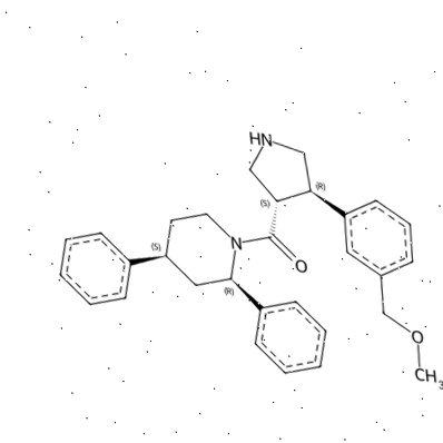 COCc1cccc([C@@H]2CNC[C@H]2C(=O)N2CC[C@H](c3ccccc3)C[C@@H]2c2ccccc2)c1